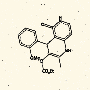 CCOC(=O)OC1=C(C)Nc2cc[nH]c(=O)c2C1c1ccccc1OC